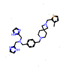 Cc1ccsc1CN1CC2(CCN(Cc3ccc(CN(Cc4ncc[nH]4)Cc4ncc[nH]4)cc3)CC2)C1